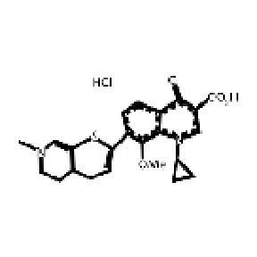 COc1c(C2=CCC3CCN(C)C=C3S2)ccc2c(=O)c(C(=O)O)cn(C3CC3)c12.Cl